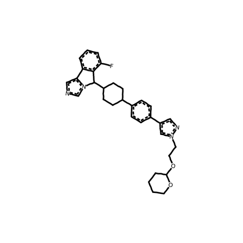 Fc1cccc2c1C(C1CCC(c3ccc(-c4cnn(CCOC5CCCCO5)c4)cc3)CC1)n1cncc1-2